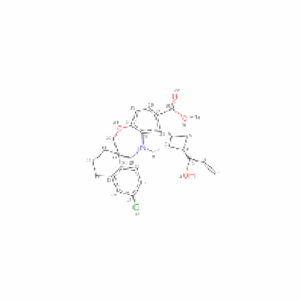 C=CC(O)[C@@H]1CC[C@H]1CN1C[C@@]2(CCCc3cc(Cl)ccc32)COc2ccc(C(=O)OC)cc21